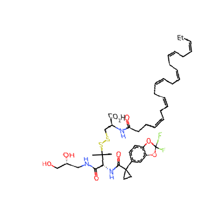 CC/C=C\C/C=C\C/C=C\C/C=C\C/C=C\C/C=C\CCC(=O)N[C@@H](CSSC(C)(C)[C@H](NC(=O)C1(c2ccc3c(c2)OC(F)(F)O3)CC1)C(=O)NC[C@@H](O)CO)C(=O)O